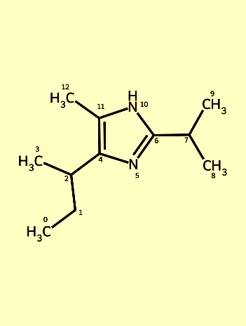 CCC(C)c1nc(C(C)C)[nH]c1C